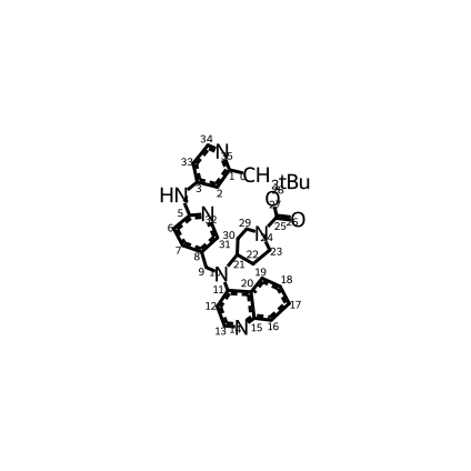 Cc1cc(Nc2ccc(CN(c3ccnc4ccccc34)C3CCN(C(=O)OC(C)(C)C)CC3)cn2)ccn1